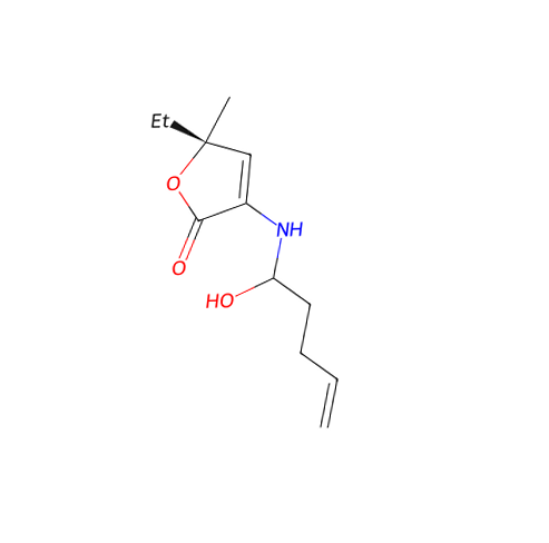 C=CCCC(O)NC1=C[C@](C)(CC)OC1=O